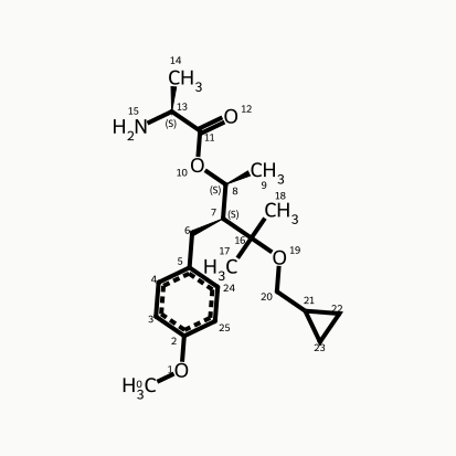 COc1ccc(C[C@@H]([C@H](C)OC(=O)[C@H](C)N)C(C)(C)OCC2CC2)cc1